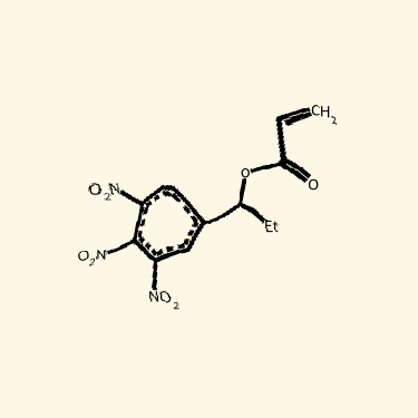 C=CC(=O)OC(CC)c1cc([N+](=O)[O-])c([N+](=O)[O-])c([N+](=O)[O-])c1